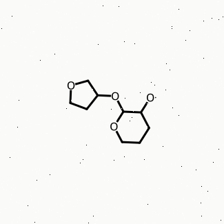 [O]C1CCCOC1OC1CCOC1